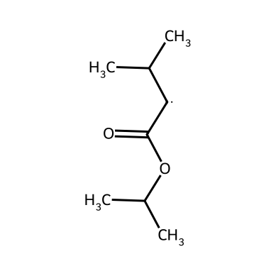 CC(C)[CH]C(=O)OC(C)C